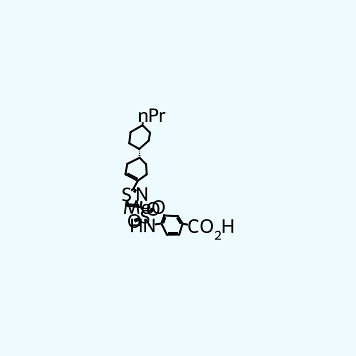 CCC[C@H]1CC[C@H](C2CC=C(c3nc(S(=O)(=O)Nc4ccc(C(=O)O)cc4OC)cs3)CC2)CC1